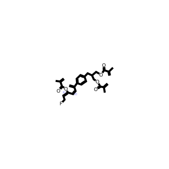 C=C(C)C(=O)OCC(COC(=O)C(=C)C)Cc1ccc(C(=C)/C=C\C(=C/CF)OC(=O)C(=C)C)cc1